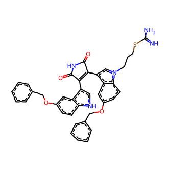 N=C(N)SCCCn1cc(C2=C(c3c[nH]c4ccc(OCc5ccccc5)cc34)C(=O)NC2=O)c2cc(OCc3ccccc3)ccc21